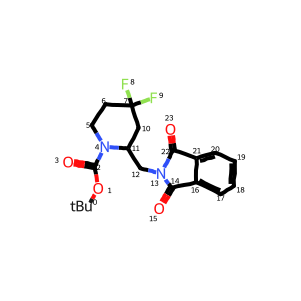 CC(C)(C)OC(=O)N1CCC(F)(F)CC1CN1C(=O)c2ccccc2C1=O